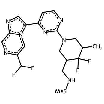 CSNCC1CN(c2nccc(-c3cnc4cnc(C(F)F)cn34)n2)CC(C)C1(F)F